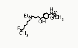 CCN(CCCCC[C@H](C)F)CCCC(O)c1ccc(NS(C)(=O)=O)cc1